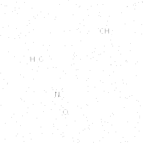 C/C=C/C(C)CN=O